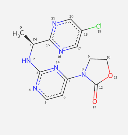 C[C@H](Nc1nccc(N2CCOC2=O)n1)c1ncc(Cl)cn1